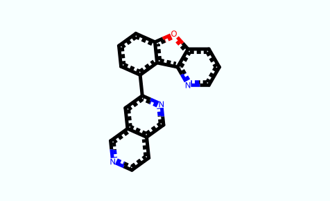 c1cnc2c(c1)oc1cccc(-c3cc4cnccc4cn3)c12